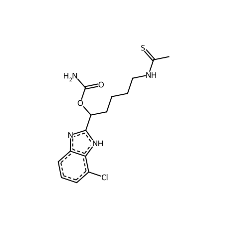 CC(=S)NCCCCC(OC(N)=O)c1nc2cccc(Cl)c2[nH]1